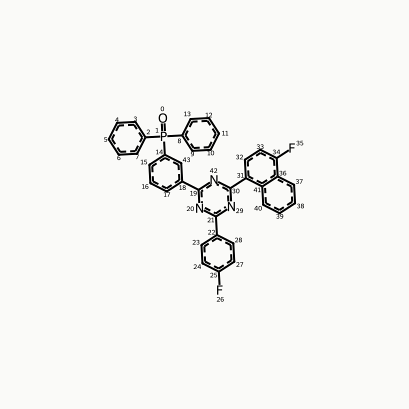 O=P(c1ccccc1)(c1ccccc1)c1cccc(-c2nc(-c3ccc(F)cc3)nc(-c3ccc(F)c4ccccc34)n2)c1